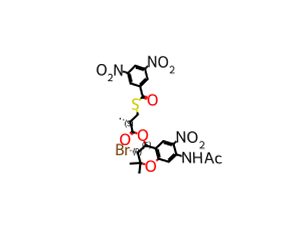 CC(=O)Nc1cc2c(cc1[N+](=O)[O-])[C@H](OC(=O)[C@H](C)CSC(=O)c1cc([N+](=O)[O-])cc([N+](=O)[O-])c1)[C@@H](Br)C(C)(C)O2